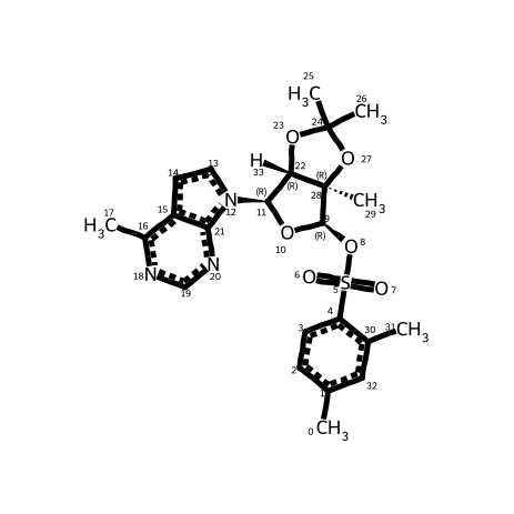 Cc1ccc(S(=O)(=O)O[C@H]2O[C@@H](n3ccc4c(C)ncnc43)[C@@H]3OC(C)(C)O[C@@]23C)c(C)c1